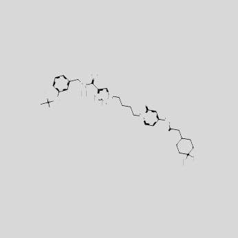 CC(F)(F)Oc1cccc(CNC(=O)c2cn(CCCCn3ccc(NC(=O)CC4CCC(F)(F)CC4)cc3=O)nn2)c1